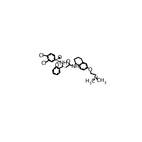 CN(C)CCOc1ccc2c(c1)CCCC2NC(=O)C[C@@H](NS(=O)(=O)c1ccc(Cl)c(Cl)c1)c1ccccc1